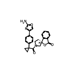 Nc1nc(-c2ccc(C3(C(=O)N4CC[C@@]5(C4)OC(=O)c4ccccc45)CC3)cc2)co1